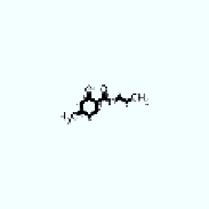 CCCOC(=O)C1CCC(C)CC1=O